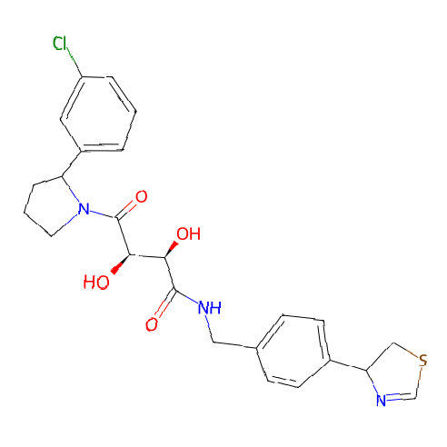 O=C(NCc1ccc(C2CSC=N2)cc1)[C@H](O)[C@@H](O)C(=O)N1CCCC1c1cccc(Cl)c1